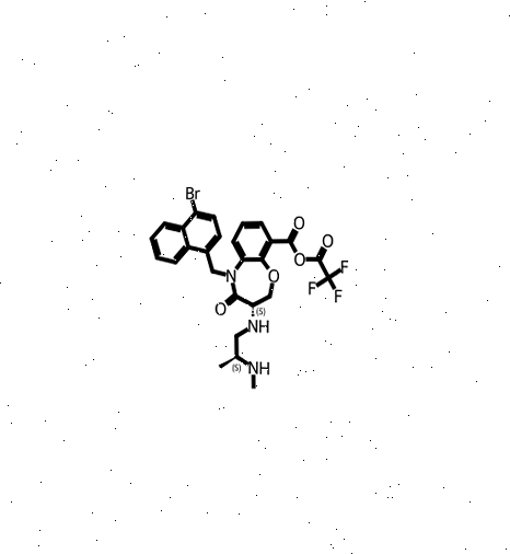 CN[C@@H](C)CN[C@H]1COc2c(C(=O)OC(=O)C(F)(F)F)cccc2N(Cc2ccc(Br)c3ccccc23)C1=O